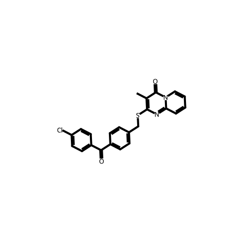 Cc1c(SCc2ccc(C(=O)c3ccc(Cl)cc3)cc2)nc2ccccn2c1=O